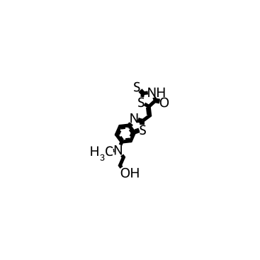 CN(CCO)c1ccc2nc(/C=C3\SC(=S)NC3=O)sc2c1